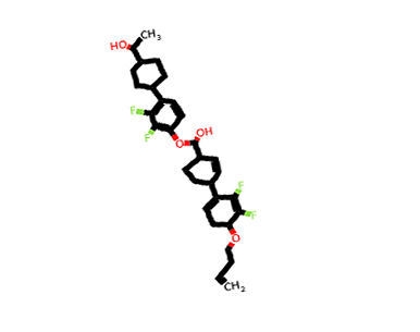 C=CCCOC1CC=C(C2C=CC(C(O)Oc3ccc(C4CCC(C(C)O)CC4)c(F)c3F)CC2)C(F)=C1F